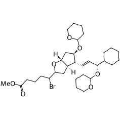 COC(=O)CCCC(Br)C1C[C@@H]2[C@@H](/C=C/[C@@H](OC3CCCCO3)C3CCCCC3)[C@H](OC3CCCCO3)C[C@H]2O1